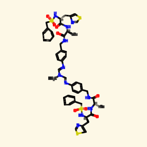 CCCC[C@H](NC(=O)[C@@H](Cc1cscn1)NS(=O)(=O)Cc1ccccc1)C(=O)NCc1ccc(N=CN(C=Nc2ccc(CNC(=O)[C@H](CCCC)NC(=O)[C@@H](Cc3cscn3)NS(=O)(=O)Cc3ccccc3)cc2)C(=O)O)cc1